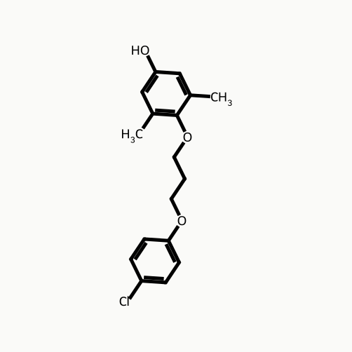 Cc1cc(O)cc(C)c1OCCCOc1ccc(Cl)cc1